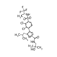 CC(C)Cc1nc(C(=O)NCC(C)(C)O)sc1-c1ccc(S(=O)(=O)N[C@@H](C)C(F)(F)F)c(Cl)c1Cl